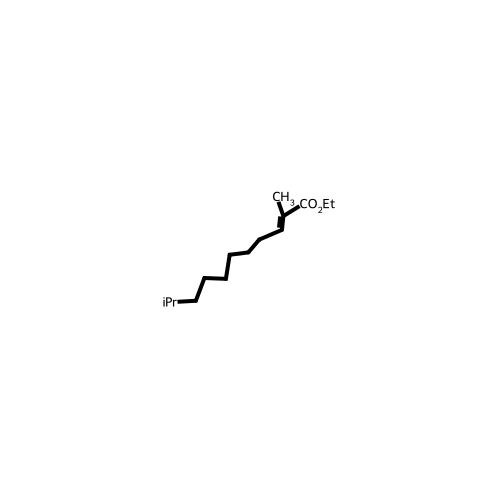 CCOC(=O)C(C)=CCCCCCCC(C)C